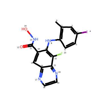 Cc1cc(I)ccc1Nc1c(C(=O)NO)cc2nccnc2c1F